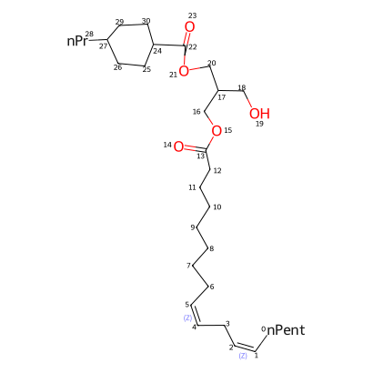 CCCCC/C=C\C/C=C\CCCCCCCC(=O)OCC(CO)COC(=O)C1CCC(CCC)CC1